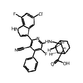 N#Cc1c(-c2c[nH]c3c(F)cc(Cl)cc23)nc(N[C@@H]2C3CCC(CC3)[C@H]2C(=O)O)c(F)c1-c1ccccc1